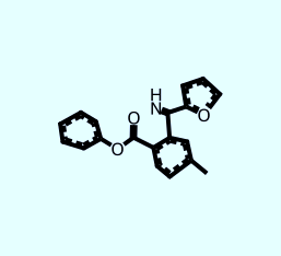 Cc1ccc(C(=O)Oc2ccccc2)c(C(=N)c2ccco2)c1